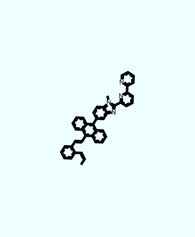 C/C=C\c1ccccc1/C=C/c1c2ccccc2c(-c2ccc3c(c2)nc(-c2cccc(-c4ccccn4)n2)n3C)c2ccccc12